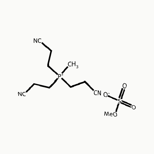 COS(=O)(=O)[O-].C[P+](CCC#N)(CCC#N)CCC#N